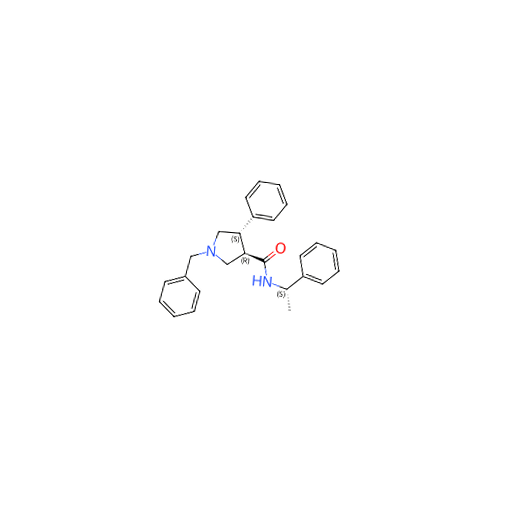 C[C@H](NC(=O)[C@H]1CN(Cc2ccccc2)C[C@@H]1c1ccccc1)c1ccccc1